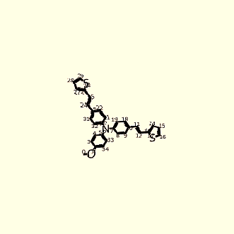 COc1ccc(N(c2ccc(C=Cc3cccs3)cc2)c2ccc(C=Cc3cccs3)cc2)cc1